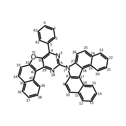 c1ccc(-c2nc(-n3c4ccc5ccccc5c4c4c5ccccc5ccc43)nc3c2oc2ccc4ccccc4c23)cc1